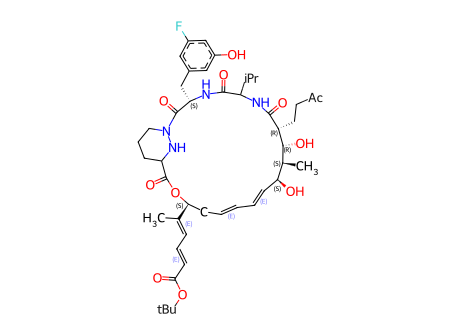 CC(=O)CC[C@H]1C(=O)NC(C(C)C)C(=O)N[C@@H](Cc2cc(O)cc(F)c2)C(=O)N2CCCC(N2)C(=O)O[C@H](/C(C)=C/C=C/C(=O)OC(C)(C)C)C/C=C/C=C/[C@H](O)[C@H](C)[C@H]1O